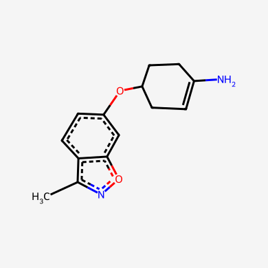 Cc1noc2cc(OC3CC=C(N)CC3)ccc12